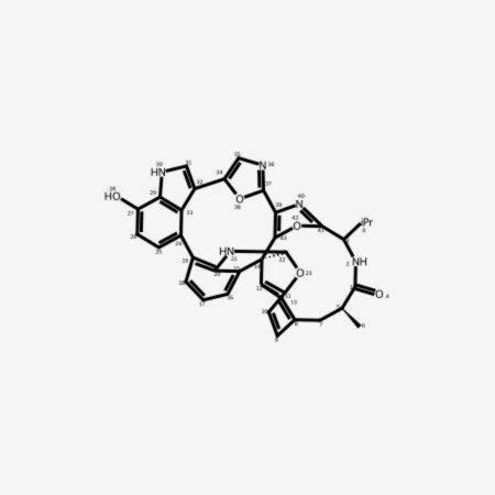 CC(C)C1NC(=O)[C@@H](C)Cc2ccc3c(c2)[C@]24c5cccc(c5NC2O3)-c2ccc(O)c3[nH]cc(c23)-c2cnc(o2)-c2nc1oc24